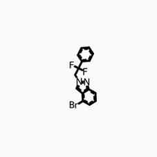 FC(F)(Cn1cc2c(Br)cccc2n1)c1ccccc1